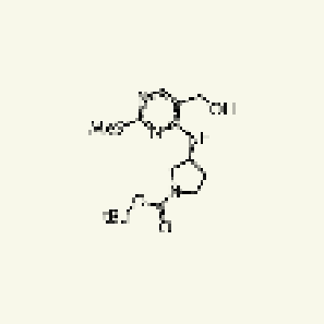 CSc1ncc(CO)c(N[C@H]2CCN(C(=O)OC(C)(C)C)C2)n1